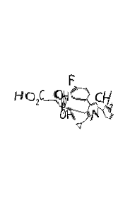 Cc1c(-c2ccccc2)nc(C2CC2)c(C#CP(=O)(O)C[C@@H](O)CC(=O)O)c1-c1ccc(F)cc1